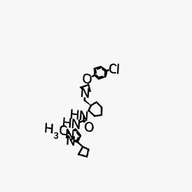 Cn1nc(C2CCC2)cc1NC(=O)N[C@@H]1CCCC[C@@H]1CN1CC(Oc2ccc(Cl)cc2)C1